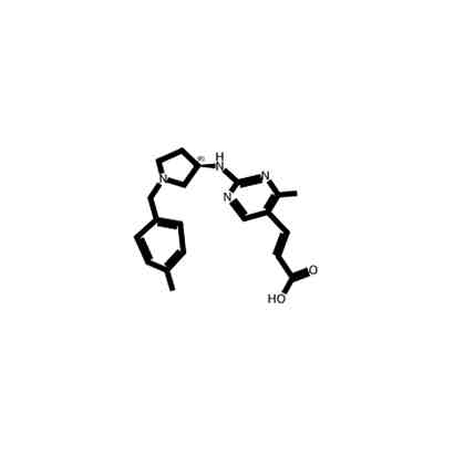 Cc1ccc(CN2CC[C@@H](Nc3ncc(C=CC(=O)O)c(C)n3)C2)cc1